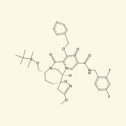 COC1=NO[C@@]2(CC[C@H](CO[Si](C)(C)C(C)(C)C)N3C[C@H]2n2cc(C(=O)NCc4ccc(F)cc4F)c(=O)c(OCc4ccccc4)c2C3=O)C1